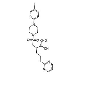 O=CN(O)[C@@H](CCCc1ncccn1)CS(=O)(=O)N1CCN(c2ccc(F)cc2)CC1